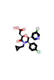 O=C(O)C[C@H]1O[C@H](c2cncc(Cl)c2)[C@@H](c2ccc(Cl)cc2)N(CC2CC2)C1=O